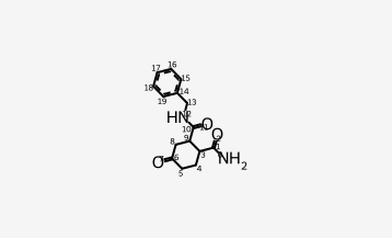 NC(=O)C1CCC(=O)CC1C(=O)NCc1ccccc1